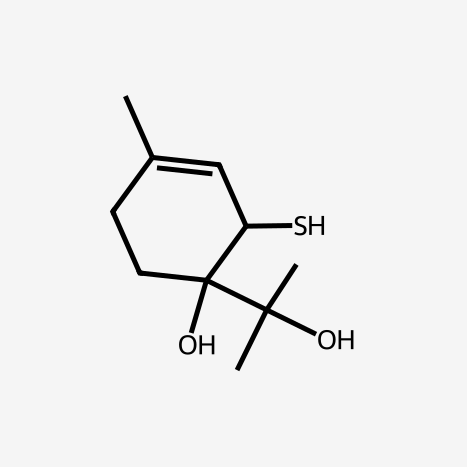 CC1=CC(S)C(O)(C(C)(C)O)CC1